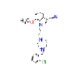 COc1cccc2c(C#N)cn(CCCN3CCCN(Cc4ccccc4Cl)CC3)c12